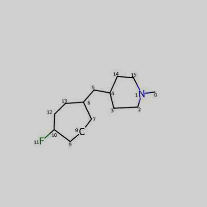 CN1CCC(CC2CCCC(F)CC2)CC1